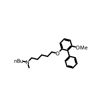 CCCCN(C)CCCCCOc1cccc(OC)c1-c1ccccc1